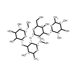 CCCO[C@@H]1OC(C)[C@H](O)C(O[C@H]2O[C@@H](CO)[C@@H](O)C(O)C2O)[C@@H]1O[C@@H]1OC(CO)[C@@H](O)C(O[C@@H]2OC(C)[C@H](O)C(O)[C@@H]2O)[C@@H]1C